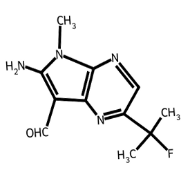 Cn1c(N)c(C=O)c2nc(C(C)(C)F)cnc21